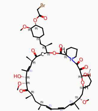 CO[C@H]1C[C@@H]2CC[C@@H](C)[C@@](O)(O2)C(=O)C(=O)N2CCCC[C@H]2C(=O)O[C@H]([C@H](C)C[C@@H]2CC[C@@H](OC(=O)CBr)[C@H](OC)C2)CC(=O)[C@H](C)/C=C(\C)[C@@H](O)[C@@H](OC)C(=O)[C@H](C)C[C@H](C)/C=C/C=C/C=C/1C